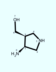 N[C@@H]1CNC[C@@H]1CO